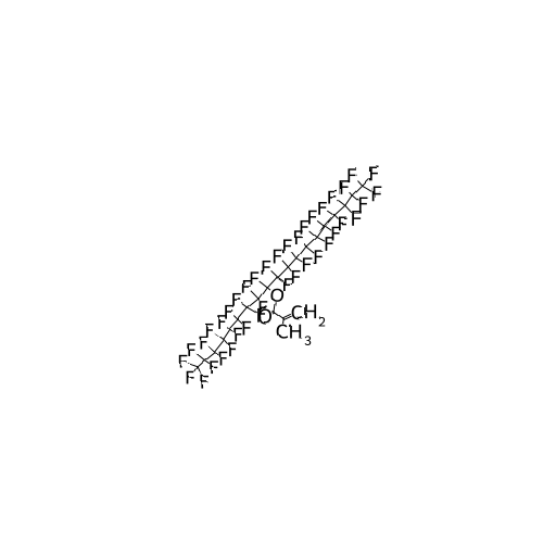 C=C(C)C(=O)OC(F)(C(F)(F)C(F)(F)C(F)(F)C(F)(F)C(F)(F)C(F)(F)C(F)(F)C(F)(F)F)C(F)(F)C(F)(F)C(F)(F)C(F)(F)C(F)(F)C(F)(F)C(F)(F)C(F)(F)C(F)(F)C(F)(F)F